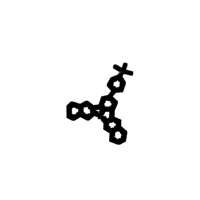 CS(C)(C)c1ccc(-c2cc3c4cc5ccccc5cc4n4c5cc6ccccc6cc5c(c2)c34)cc1